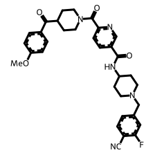 COc1ccc(C(=O)C2CCN(C(=O)c3ccc(C(=O)NC4CCN(Cc5ccc(C#N)c(F)c5)CC4)cn3)CC2)cc1